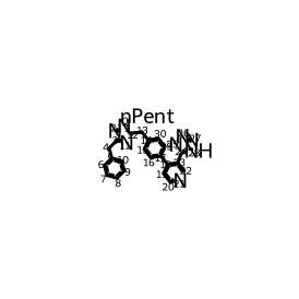 CCCCCn1nc(Cc2ccccc2)nc1Cc1ccc(-c2ccncc2-c2nnn[nH]2)cc1